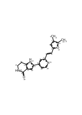 Cc1cc(/C=C/c2cc(-c3cc4c([nH]3)CCNC4=O)ccn2)oc1C